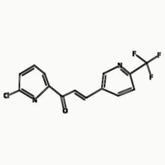 O=C(C=Cc1ccc(C(F)(F)F)nc1)c1cccc(Cl)n1